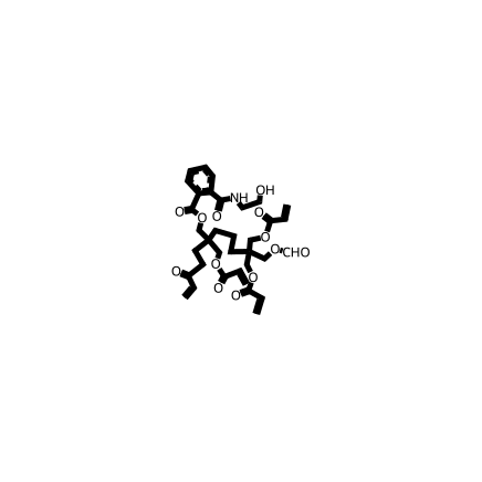 C=CC(=O)CCC(CCCC(COC=O)(COC(=O)C=C)COC(=O)C=C)(COC(=O)C=C)COC(=O)c1ccccc1C(=O)NCCO